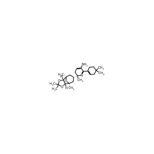 CC1(C)CC=C(C2=NC(C)([C@H]3C[C@@]4(C)O[C@@](C)(C3)[C@@H]3OC(C)(C)O[C@@H]34)CC=C2N)CC1